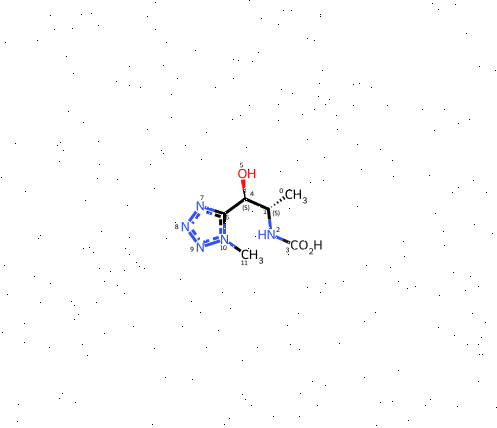 C[C@H](NC(=O)O)[C@H](O)c1nnnn1C